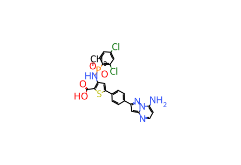 COP(=O)(Nc1cc(-c2ccc(-c3cc4nccc(N)n4n3)cc2)sc1C(=O)O)c1ccc(Cl)cc1Cl